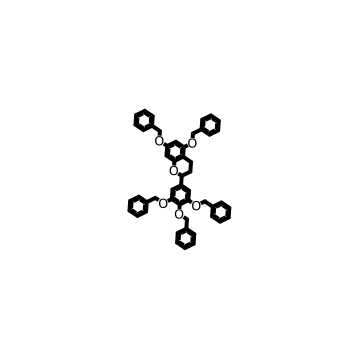 c1ccc(COc2cc(OCc3ccccc3)c3c(c2)OC(c2cc(OCc4ccccc4)c(OCc4ccccc4)c(OCc4ccccc4)c2)CC3)cc1